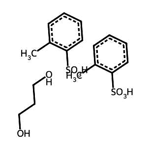 Cc1ccccc1S(=O)(=O)O.Cc1ccccc1S(=O)(=O)O.OCCCO